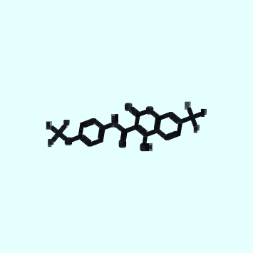 O=C(Nc1ccc(OC(F)(F)F)cc1)c1c(O)c2ccc(C(F)(F)F)cc2oc1=O